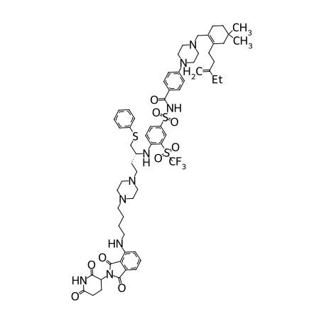 C=C(CC)CCC1=C(CN2CCN(c3ccc(C(=O)NS(=O)(=O)c4ccc(N[C@H](CCN5CCN(CCCCNc6cccc7c6C(=O)N(C6CCC(=O)NC6=O)C7=O)CC5)CSc5ccccc5)c(S(=O)(=O)C(F)(F)F)c4)cc3)CC2)CCC(C)(C)C1